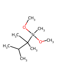 CO[Si](C)(OC)C(C)(C)C(C)C